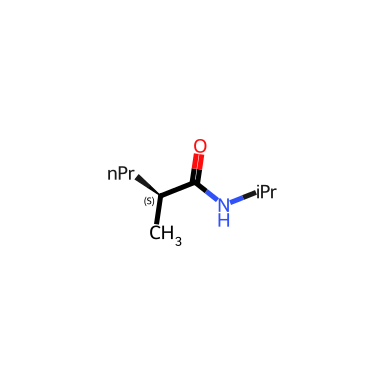 CCC[C@H](C)C(=O)NC(C)C